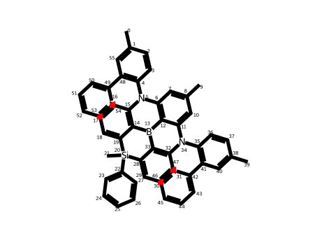 Cc1ccc(N2c3cc(C)cc4c3B3c5c2cccc5[Si](C)(c2ccccc2)c2cccc(c23)N4c2ccc(C)cc2-c2ccccn2)c(-c2ccccn2)c1